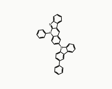 c1ccc(-c2ccc3c(c2)c2ccccc2n3-c2ccc3c(c2)cc2c4ccccc4nc-2n3-c2ccccc2)cc1